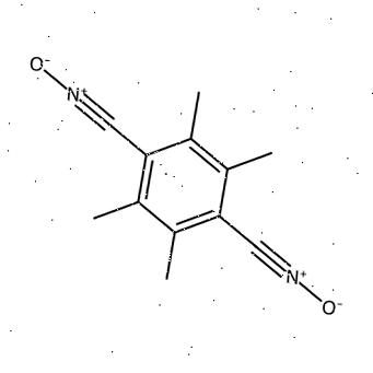 Cc1c(C)c(C#[N+][O-])c(C)c(C)c1C#[N+][O-]